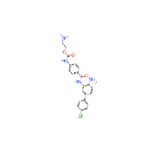 CN(C)CCOC(=O)Nc1ccc(C(=O)Nc2cc(-c3ccc(Cl)cc3)ccc2N)cc1